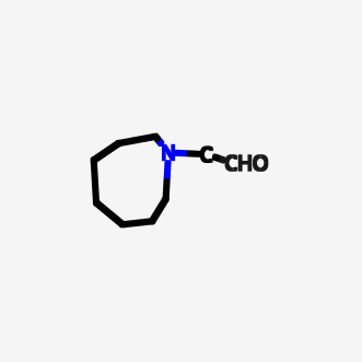 O=CCN1CCCCCCC1